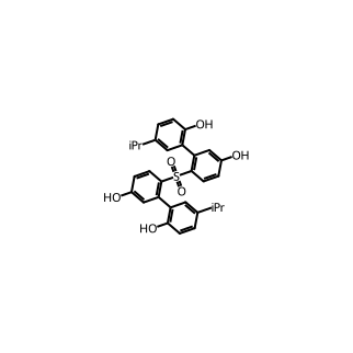 CC(C)c1ccc(O)c(-c2cc(O)ccc2S(=O)(=O)c2ccc(O)cc2-c2cc(C(C)C)ccc2O)c1